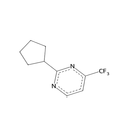 FC(F)(F)c1c[c]nc(C2CCCC2)n1